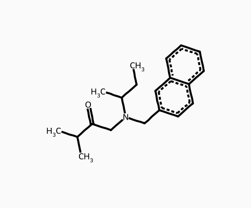 CCC(C)N(CC(=O)C(C)C)Cc1ccc2ccccc2c1